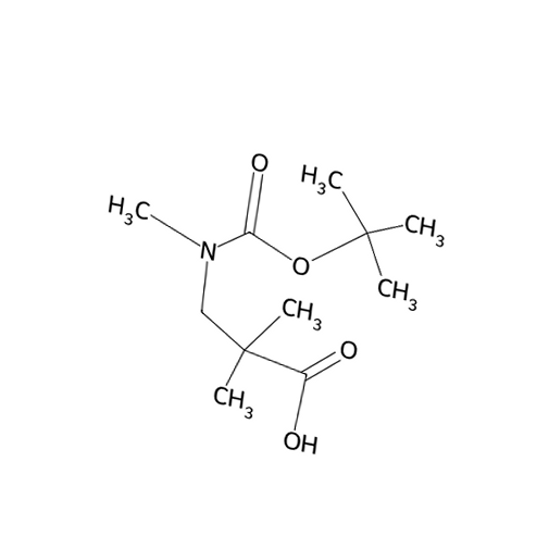 CN(CC(C)(C)C(=O)O)C(=O)OC(C)(C)C